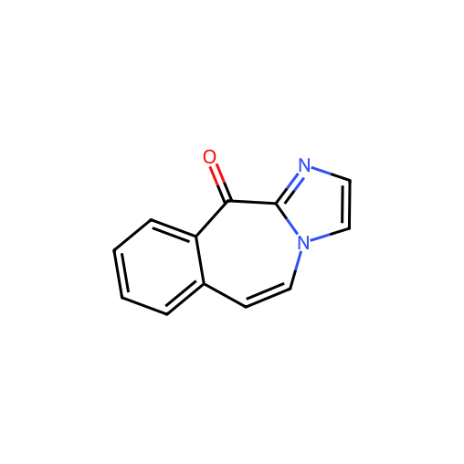 O=c1c2ccccc2ccn2ccnc12